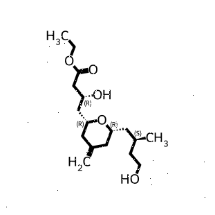 C=C1C[C@H](C[C@@H](O)CC(=O)OCC)O[C@H](C[C@@H](C)CCO)C1